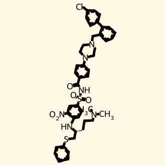 CN(C)CCC[C@H](CSc1ccccc1)Nc1ccc(S(=O)(=O)NC(=O)c2ccc(N3CCN(Cc4ccccc4-c4ccc(Cl)cc4)CC3)cc2)cc1[N+](=O)[O-]